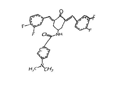 CN(C)c1ccc(C(=O)NC2C/C(=C\c3ccc(F)c(F)c3)C(=O)/C(=C/c3ccc(F)c(F)c3)C2)cc1